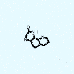 O=c1cnc2ccc3cccnc3c2[nH]1